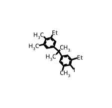 CCc1cc(C(C)(C)c2cc(C)c(I)c(CC)c2)cc(C)c1C